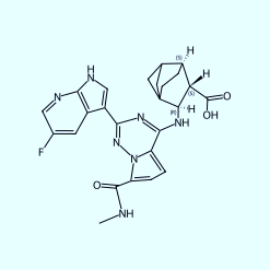 CNC(=O)c1ccc2c(N[C@@H]3[C@@H](C(=O)O)[C@H]4CCC35CC4C5)nc(-c3c[nH]c4ncc(F)cc34)nn12